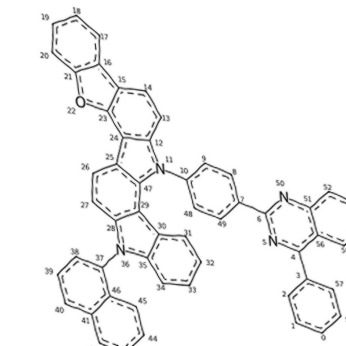 c1ccc(-c2nc(-c3ccc(-n4c5ccc6c7ccccc7oc6c5c5ccc6c(c7ccccc7n6-c6cccc7ccccc67)c54)cc3)nc3ccccc23)cc1